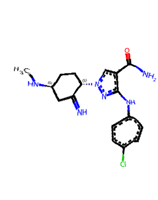 CN[C@H]1CC[C@H](n2cc(C(N)=O)c(Nc3ccc(Cl)cc3)n2)C(=N)C1